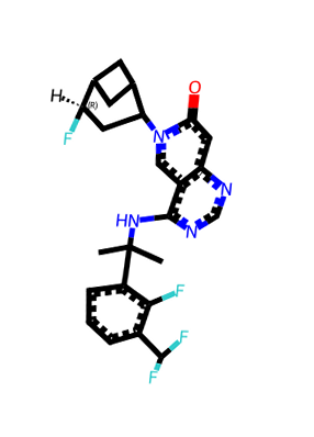 CC(C)(Nc1ncnc2cc(=O)n(C3C[C@@H](F)C4CC3C4)cc12)c1cccc(C(F)F)c1F